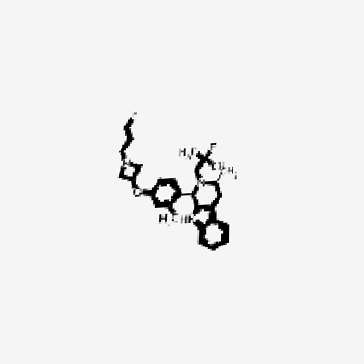 Cc1cc(OC2CN(CCCF)C2)ccc1[C@@H]1c2[nH]c3ccccc3c2C[C@@H](C)N1CC(C)(C)F